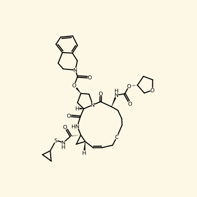 O=C(N[C@H]1CCCCC/C=C\[C@@H]2C[C@@]2(C(=O)NSC2CC2)NC(=O)[C@@H]2C[C@@H](OC(=O)N3CCc4ccccc4C3)CN2C1=O)O[C@@H]1CCOC1